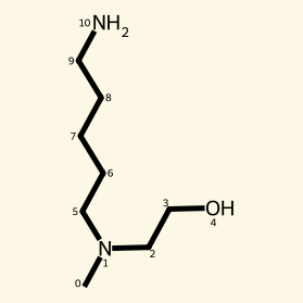 CN(CCO)CCCCCN